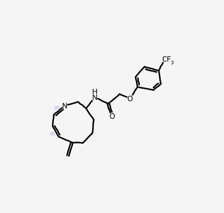 C=C1/C=C\C=N/CC(NC(=O)COc2ccc(C(F)(F)F)cc2)CCC1